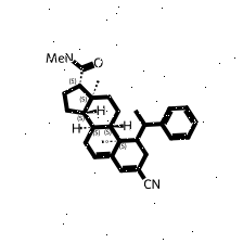 CNC(=O)[C@H]1CC[C@H]2[C@@H]3CC=C4C=C(C#N)CC(C(C)c5ccccc5)[C@]4(C)[C@H]3CC[C@]12C